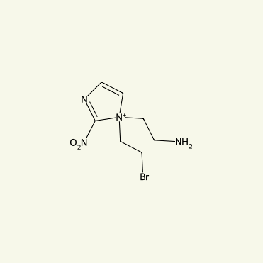 NCC[N+]1(CCBr)C=CN=C1[N+](=O)[O-]